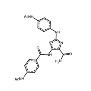 CC(=O)Nc1ccc(Nc2nc(C(N)=O)c(NC(=O)c3ccc(NC(C)=O)cc3)s2)cc1